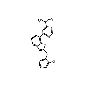 CC(c1ccnc(-c2cccc3cc(Cc4ccccc4Cl)sc23)c1)C(F)(F)F